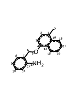 Cc1ccc(OCc2ccccc2N)c2ccccc12